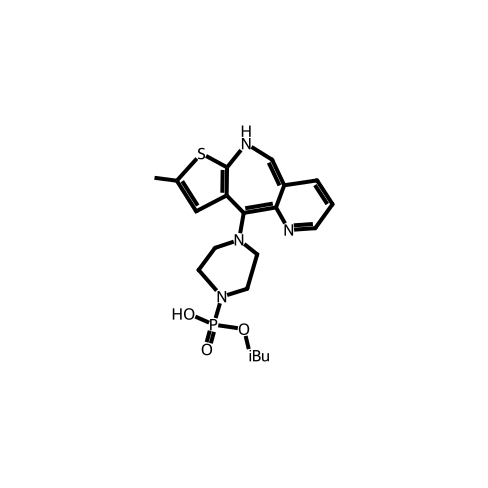 CCC(C)OP(=O)(O)N1CCN(C2=c3ncccc3=CNc3sc(C)cc32)CC1